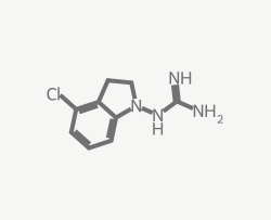 N=C(N)NN1CCc2c(Cl)cccc21